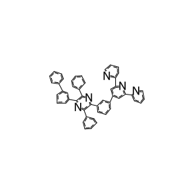 c1ccc(-c2cccc(-c3nc(-c4ccccc4)c(-c4cccc(-c5cc(-c6ccccn6)nc(-c6ccccn6)c5)c4)nc3-c3ccccc3)c2)cc1